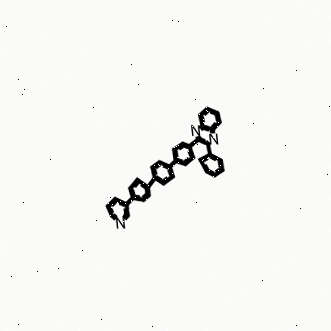 c1ccc(-c2nc3ccccc3nc2-c2ccc(-c3ccc(-c4ccc(-c5cccnc5)cc4)cc3)cc2)cc1